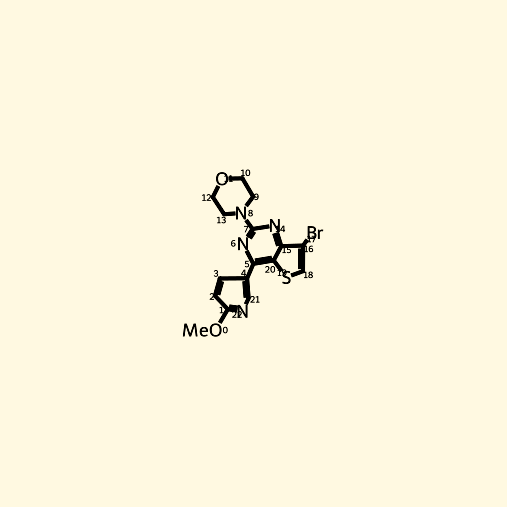 COc1ccc(-c2nc(N3CCOCC3)nc3c(Br)csc23)cn1